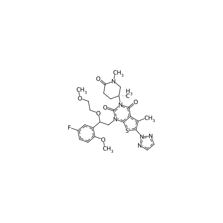 COCCOC(Cn1c(=O)n([C@@]2(C)CCC(=O)N(C)C2)c(=O)c2c(C)c(-n3nccn3)sc21)c1cc(F)ccc1OC